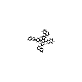 c1ccc2c(c1)CCCN2c1ccc2c(-c3ccc4ccccc4c3)c3cc(N4CCCc5ccccc54)ccc3c(-c3ccc(-c4nc5ccccc5s4)cc3)c2c1